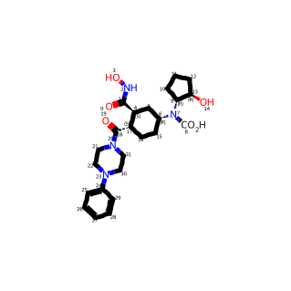 O=C(NO)[C@H]1C[C@H](N(C(=O)O)[C@@H]2CCC[C@H]2O)CC[C@@H]1C(=O)N1CCN(c2ccccc2)CC1